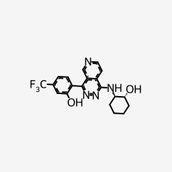 Oc1cc(C(F)(F)F)ccc1-c1nnc(N[C@@H]2CCCC[C@H]2O)c2ccncc12